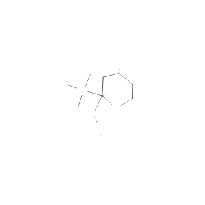 C[Si](C)(C)C1(N[C]=O)CCCCO1